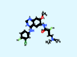 COc1cc2ncnc(Nc3ccc(F)c(Cl)c3)c2cc1NC(=O)C(F)=CCN(C)C